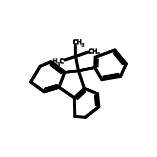 CC(C)(C)C1(c2ccccc2)C2=CCCC=C2C2=C1C=CCC2